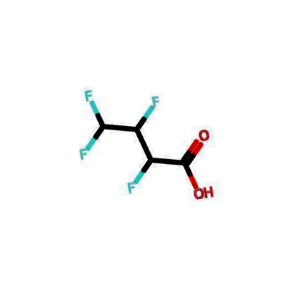 O=C(O)C(F)C(F)C(F)F